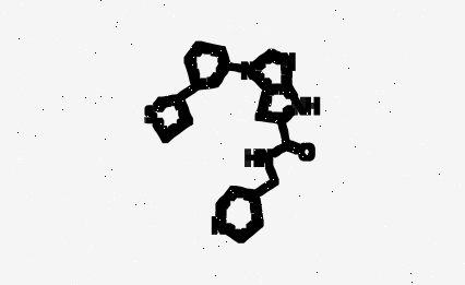 O=C(NCc1ccncc1)c1cc2c(ncn2-c2cccc(-c3ccsc3)c2)[nH]1